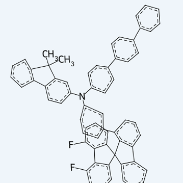 CC1(C)c2ccccc2-c2ccc(N(c3ccc(-c4ccc(-c5ccccc5)cc4)cc3)c3cccc(-c4cccc5c4C4(c6ccccc6-5)c5cccc(F)c5-c5c(F)cccc54)c3)cc21